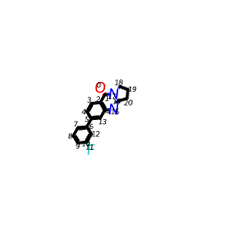 O=c1c2ccc(-c3cccc(F)c3)cc2nc2n1CCC2